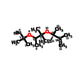 CCCC[Si](C)(C)OC(C)[Si](C)(C)O[C@](C)(CC)[SiH](C)C